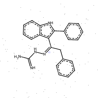 N=C(N)N/N=C(/Cc1ccccc1)c1c(-c2ccccc2)[nH]c2ccccc12